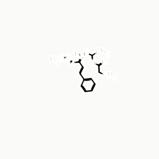 CCC(=O)OC(C)C.COOC(=O)C=Cc1ccccc1